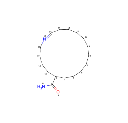 NC(=O)C1CCCCCCCCCCC=NCCCC1